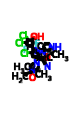 C=CC(=O)N1[C@H](C)CN(c2c(C#N)c(=O)n(C3=C(C)C=CN[C@@H]3C(C)C)c3nc(-c4c(F)c(O)c(Cl)c(Cl)c4F)c(Cl)cc23)C[C@@H]1C